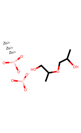 CC(O)COC(C)CO.[O-]B([O-])[O-].[O-]B([O-])[O-].[Zn+2].[Zn+2].[Zn+2]